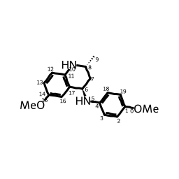 COc1ccc(N[C@@H]2C[C@@H](C)Nc3ccc(OC)cc32)cc1